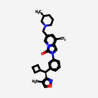 Cc1conc1[C@H](c1cccc(-n2cc3c(C(F)(F)F)cc(CN4CCC[C@H](C)C4)cn3c2=O)c1)C1CCC1